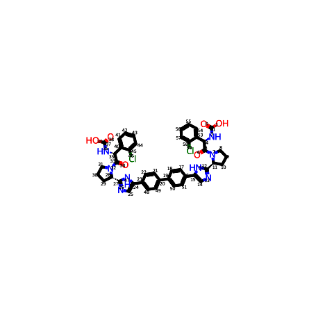 O=C(O)N[C@@H](C(=O)N1CCC[C@H]1c1ncc(-c2ccc(-c3ccc(-c4cnc([C@@H]5CCCN5C(=O)[C@H](NC(=O)O)c5ccccc5Cl)[nH]4)cc3)cc2)[nH]1)c1ccccc1Cl